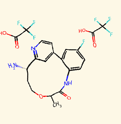 CC1OCC[C@H](N)c2cc(ccn2)-c2cc(F)ccc2NC1=O.O=C(O)C(F)(F)F.O=C(O)C(F)(F)F